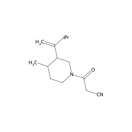 C=C(C(C)C)C1CN(C(=O)CC#N)CCC1C